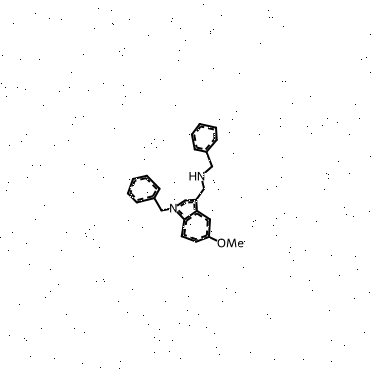 COc1ccc2c(c1)c(CNCc1ccccc1)cn2Cc1ccccc1